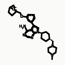 CN1CCN(C[C@H]2CC[C@H](n3cc(-c4cccc(OCC56CCC(CC5)O6)c4)c4c(N)ncnc43)CC2)CC1